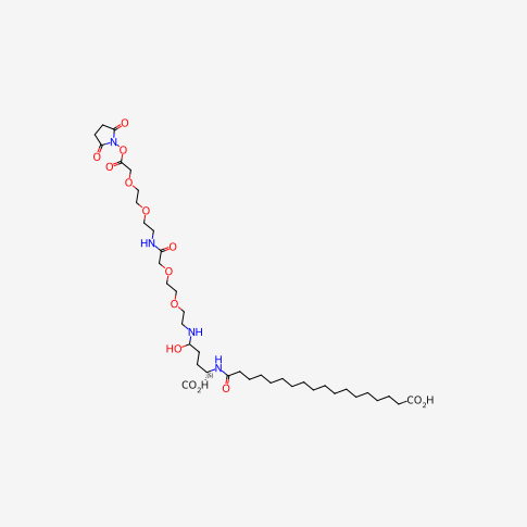 O=C(O)CCCCCCCCCCCCCCCCC(=O)N[C@@H](CCC(O)NCCOCCOCC(=O)NCCOCCOCC(=O)ON1C(=O)CCC1=O)C(=O)O